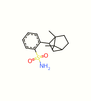 CC1(C)C2CCC1(C)C(c1ccccc1S(N)(=O)=O)C2